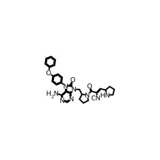 N#C/C(=C\C1CCCN1)C(=O)N1CCCC1Cn1c(=O)n(-c2ccc(Oc3ccccc3)cc2)c2c(N)ncnc21